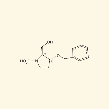 O=C(O)N1CC[C@@H](OCc2ccccc2)[C@@H]1CO